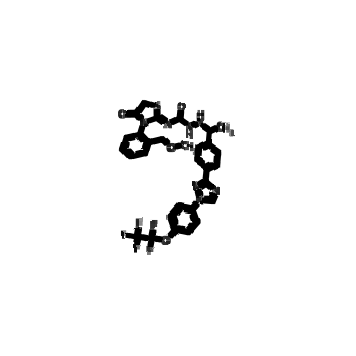 COCc1ccccc1N1C(=O)CS/C1=N\C(=O)NNC(C)c1ccc(-c2ncn(-c3ccc(OC(F)(F)C(F)(F)F)cc3)n2)cc1